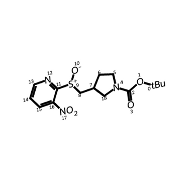 CC(C)(C)OC(=O)N1CCC(C[S+]([O-])c2ncccc2[N+](=O)[O-])C1